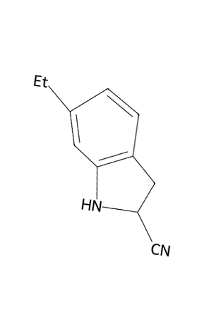 CCc1ccc2c(c1)NC(C#N)C2